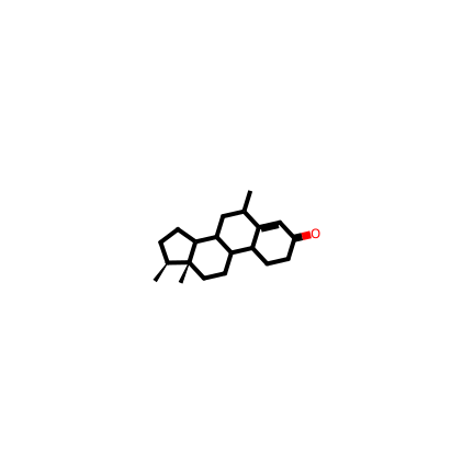 CC1CC2C(CC[C@@]3(C)C2CC[C@@H]3C)C2CCC(=O)C=C12